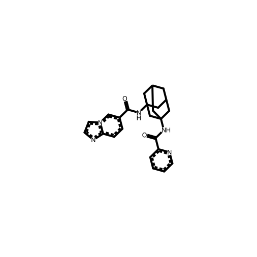 O=C(NC12CC3CC(C1)CC(NC(=O)c1ccccn1)(C3)C2)c1ccc2nccn2c1